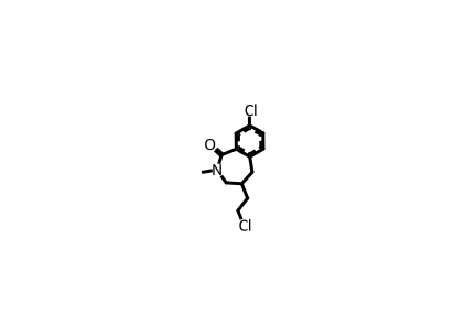 CN1CC(CCCl)Cc2ccc(Cl)cc2C1=O